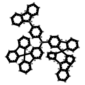 c1ccc2c(c1)-c1ccccc1C21c2ccccc2-c2ccc(N(c3ccc(-n4c5ccccc5c5ccccc54)cc3)c3ccc4c(c3)C3(c5ccccc5-4)c4ccccc4-n4c5ccccc5c5cccc3c54)cc21